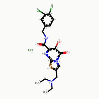 CCN(CC)Cc1cn2c(=O)c(O)c(C(=O)NCc3ccc(Cl)c(Cl)c3)nc2s1.Cl